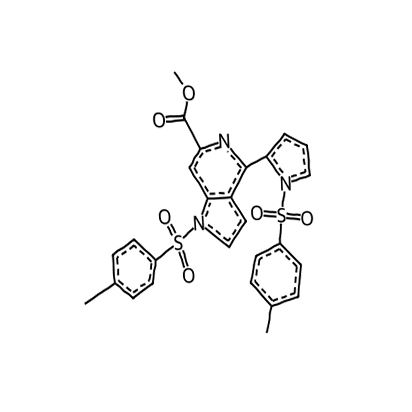 COC(=O)c1cc2c(ccn2S(=O)(=O)c2ccc(C)cc2)c(-c2cccn2S(=O)(=O)c2ccc(C)cc2)n1